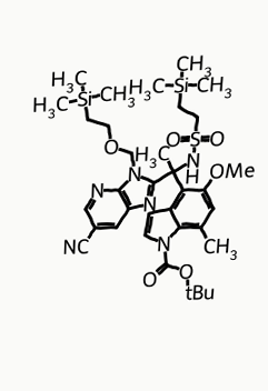 COc1cc(C)c2c(ccn2C(=O)OC(C)(C)C)c1C(C)(NS(=O)(=O)CC[Si](C)(C)C)c1nc2cc(C#N)cnc2n1COCC[Si](C)(C)C